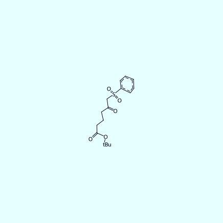 CC(C)(C)OC(=O)CCCC(=O)CS(=O)(=O)c1ccccc1